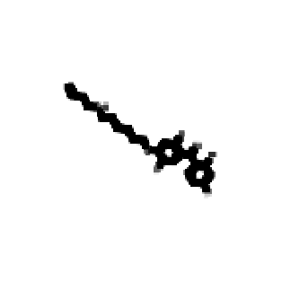 C=CCCNCCCCCCOc1cc(F)c(C(=O)c2ccc(F)cc2F)cc1F